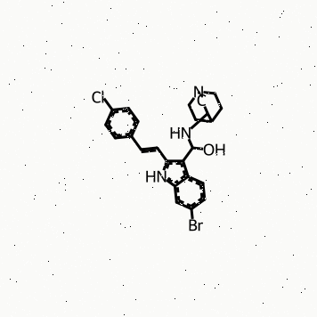 OC(NC1CN2CCC1CC2)c1c(/C=C/c2ccc(Cl)cc2)[nH]c2cc(Br)ccc12